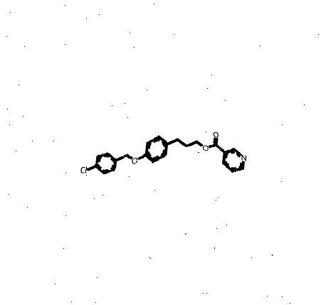 O=C(OCCCc1ccc(OCc2ccc(Cl)cc2)cc1)c1cccnc1